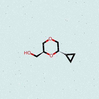 OC[C@H]1COC[C@H](C2CC2)O1